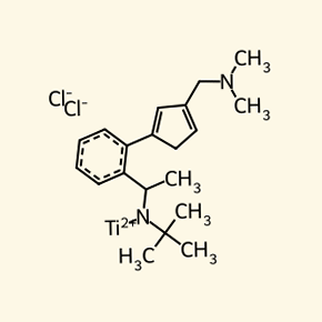 CC(c1ccccc1C1=CC(CN(C)C)=CC1)[N]([Ti+2])C(C)(C)C.[Cl-].[Cl-]